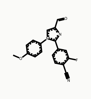 COc1ccc(-n2cc(C=O)nc2-c2ccc(C#N)c(F)c2)cc1